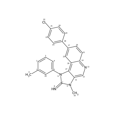 Cc1cccc(-n2c(=N)n(C)c3cnc4ccc(-c5ccc(Cl)cc5)cc4c32)c1